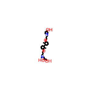 Cc1c(OCCCN(C)CC(O)CO)cccc1-c1cccc(OCCCN2CC[C@@H](O)C2)c1C